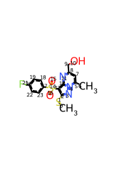 CSc1nn2c(C)cc(CO)nc2c1S(=O)(=O)c1ccc(F)cc1